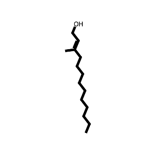 CCCCCCCCCC/C(C)=C/CO